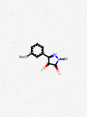 CCN1N=C(c2cccc(OC)c2)C(=O)C1=O